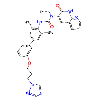 CC(C)CN(C(=O)Nc1c(C(C)C)cc(-c2cccc(OCCCn3cncn3)c2)cc1C(C)C)c1cc2cccnc2[nH]c1=O